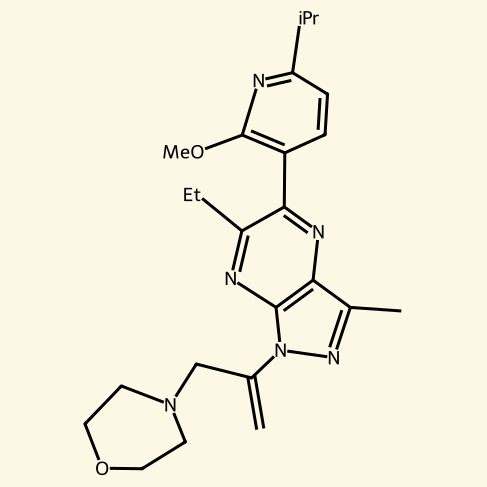 C=C(CN1CCOCC1)n1nc(C)c2nc(-c3ccc(C(C)C)nc3OC)c(CC)nc21